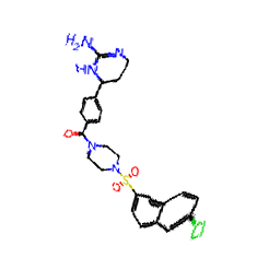 NC1=NCCC(c2ccc(C(=O)N3CCN(S(=O)(=O)c4ccc5cc(Cl)ccc5c4)CC3)cc2)N1